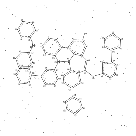 Cc1cc2c3c(c1)-c1ccc(N(c4ccccc4)c4ccccc4)cc1N(c1cccc(-c4ccccc4)c1)B3c1ccc(-c3ccccc3)cc1C(Cc1cccc(-c3ccccc3)c1)=C2